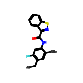 COc1cc(CC(C)=O)c(F)cc1NC(=O)c1nsc2ccccc12